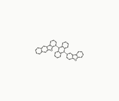 c1ccc2cc3c(cc2c1)oc1c(-c2c4ccccc4c(-c4ccc5oc6ccccc6c5c4)c4ccccc24)cccc13